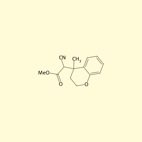 COC(=O)C(C#N)C1(C)CCOc2ccccc21